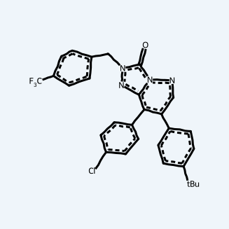 CC(C)(C)c1ccc(-c2cnn3c(=O)n(Cc4ccc(C(F)(F)F)cc4)nc3c2-c2ccc(Cl)cc2)cc1